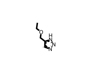 CCOCc1[c]nn[nH]1